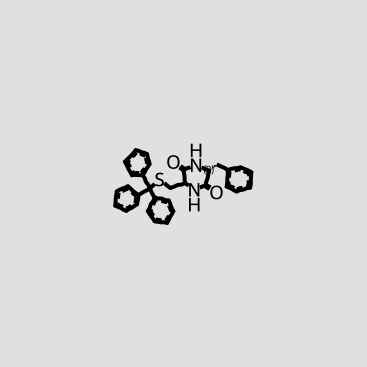 O=C1N[C@H](Cc2ccccc2)C(=O)NC1CSC(c1ccccc1)(c1ccccc1)c1ccccc1